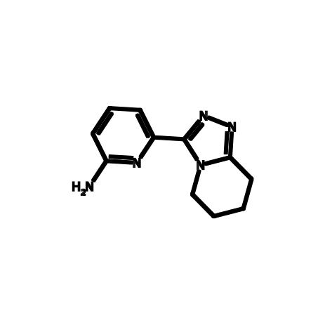 Nc1cccc(-c2nnc3n2CCCC3)n1